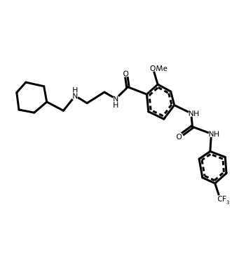 COc1cc(NC(=O)Nc2ccc(C(F)(F)F)cc2)ccc1C(=O)NCCNCC1CCCCC1